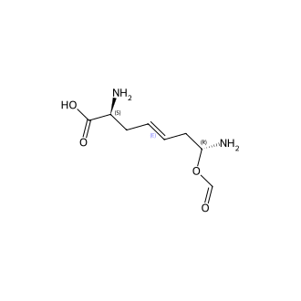 N[C@@H](C/C=C/C[C@H](N)C(=O)O)OC=O